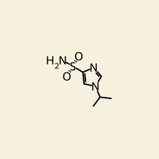 CC(C)n1cnc(S(N)(=O)=O)c1